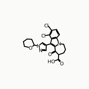 O=C(O)C1CCCn2c(c(-c3cnn(C4CCCCO4)c3)c3c(Cl)c(Cl)ccc32)C1=O